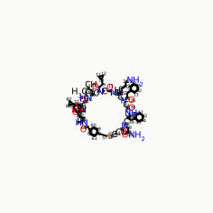 CC(C)C[C@H]1CN(C(=O)CC2CC2)CC(=O)N[C@@H](CCCCN)CN(C(=O)Cc2ccccc2)CC(=O)N[C@@H](Cc2ccccc2)CN(CC(N)=O)C(=O)CCSCc2ccc(cc2)C(=O)N[C@@H](Cc2ccccc2)CN(C(=O)CC2CC2)CC(=O)N1